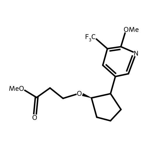 COC(=O)CCO[C@@H]1CCCC1c1cnc(OC)c(C(F)(F)F)c1